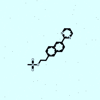 CS(=O)(=O)OCCc1ccc2cc(-c3ncccn3)ccc2c1